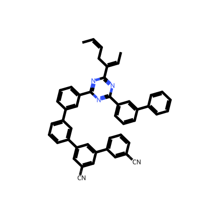 C/C=C\C/C(=C\C)c1nc(-c2cccc(-c3ccccc3)c2)nc(-c2cccc(-c3cccc(-c4cc(C#N)cc(-c5cccc(C#N)c5)c4)c3)c2)n1